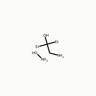 CCC(O)(CC)CN.NO